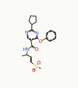 CC(/C=C/S(C)(=O)=O)NC(=O)c1cnc(C2CCCC2)nc1Oc1ccccc1